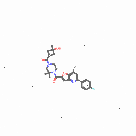 CC(C)c1cc(-c2ccc(F)cc2)nc2cc(C(=O)N3CCN(C(=O)C4CC(C)(O)C4)CC3(C)C)oc12